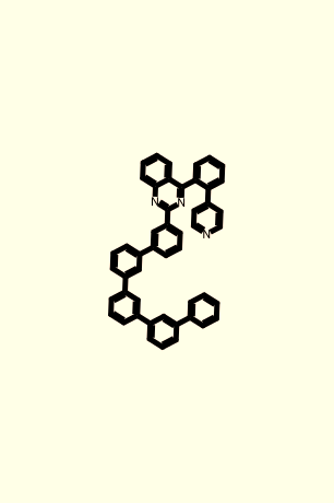 c1ccc(-c2cccc(-c3cccc(-c4cccc(-c5cccc(-c6nc(-c7ccccc7-c7ccncc7)c7ccccc7n6)c5)c4)c3)c2)cc1